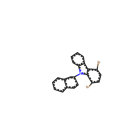 Brc1ccc(Br)c2c1c1ccccc1n2-c1ccc2ccccc2c1